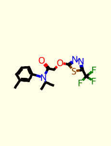 Cc1cccc(N(C(=O)COc2nnc(C(F)(F)F)s2)C(C)C)c1